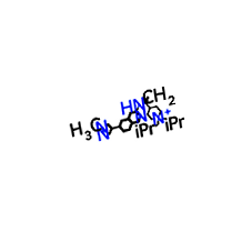 C=C(Nc1cc2cc(-c3cnn(C)c3)ccc2cn1)C1CC[N+](CC(C)C)(CC(C)C)CC1